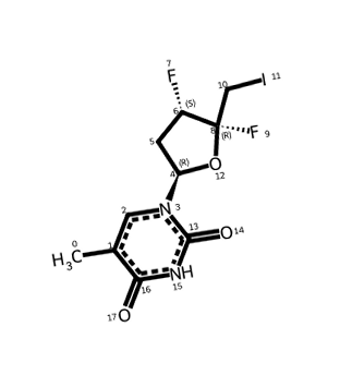 Cc1cn([C@H]2C[C@H](F)[C@@](F)(CI)O2)c(=O)[nH]c1=O